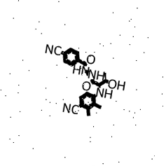 Cc1c(C#N)ccc(N[C@@H](C(=O)NNC(=O)c2ccc(C#N)cc2)[C@@H](C)O)c1C